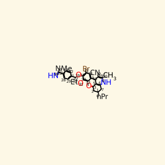 CCCC1CC(=O)C2=C(C1)NC(C)=C(C#N)C2c1cc(Br)c(OCc2ccc(C(=N)NC)cc2)c(OCC)c1